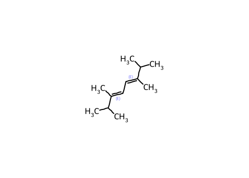 C/C(=C\C=C(/C)C(C)C)C(C)C